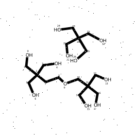 OCC(CO)(CO)CCOCC(CO)(CO)CO.OCC(CO)(CO)CO